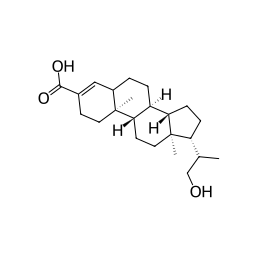 CC(CO)[C@H]1CC[C@H]2[C@@H]3CCC4C=C(C(=O)O)CC[C@]4(C)[C@H]3CC[C@]12C